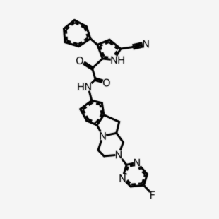 N#Cc1cc(-c2ccccc2)c(C(=O)C(=O)Nc2ccc3c(c2)CC2CN(c4ncc(F)cn4)CCN32)[nH]1